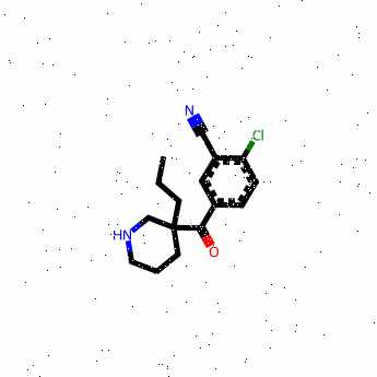 CCCC1(C(=O)c2ccc(Cl)c(C#N)c2)CCCNC1